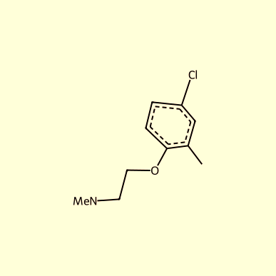 CNCCOc1ccc(Cl)cc1C